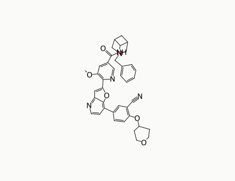 COc1cc(C(=O)NC2C3CC2CN(Cc2ccccc2)C3)cnc1-c1cc2nccc(-c3ccc(OC4CCOCC4)c(C#N)c3)c2o1